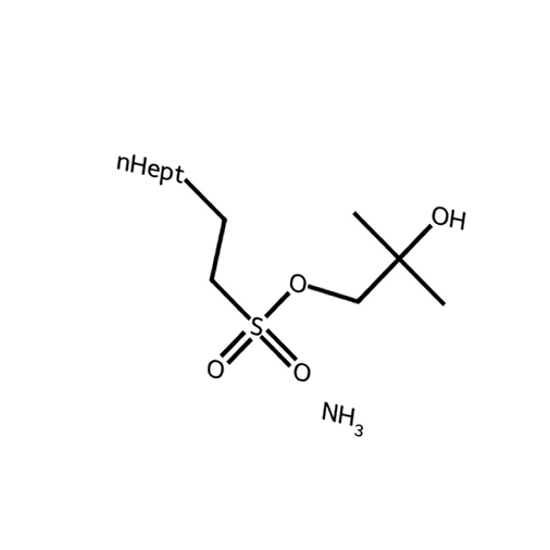 CCCCCCCCCS(=O)(=O)OCC(C)(C)O.N